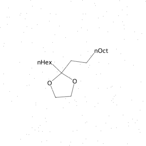 CCCCCCCCCCC1(CCCCCC)OCCO1